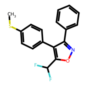 CSc1ccc(-c2c(-c3ccccc3)noc2C(F)F)cc1